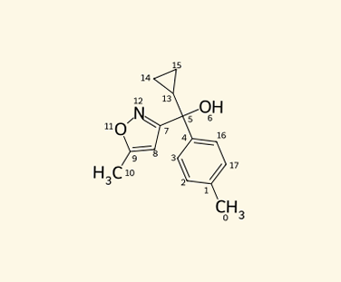 Cc1ccc(C(O)(c2cc(C)on2)C2CC2)cc1